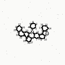 c1ccc(N(c2ccc3ccc4oc5ccccc5c4c3c2)c2cc3c4ccccc4ccc3c3ccccc23)cc1